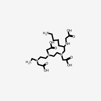 CCN(CCN(CCN(CC(=O)O)CC(CCCCN)NCC(=O)O)CC(=O)O)CC(=O)O